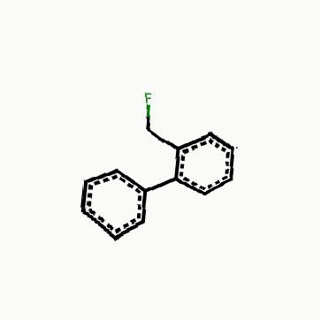 FCc1c[c]ccc1-c1ccccc1